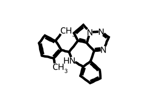 Cc1cccc(C)c1C1Nc2ccccc2-c2ncnn3ccc1c23